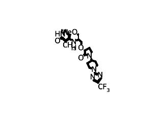 COC[C@@H](CO[C@@H]1CCN(C2CCN(c3ncc(C(F)(F)F)cn3)CC2)C1=O)Nc1cn[nH]c(=O)c1C